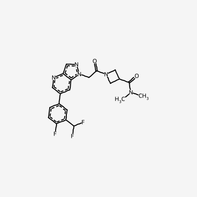 CN(C)C(=O)C1CN(C(=O)Cn2ncc3ncc(-c4ccc(F)c(C(F)F)c4)cc32)C1